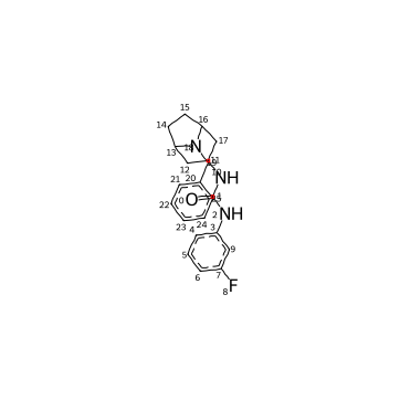 O=C(Nc1cccc(F)c1)NC1CC2CCC(C1)N2Cc1ccccc1